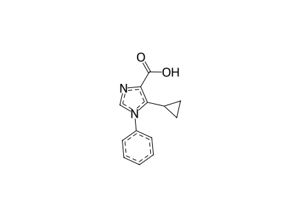 O=C(O)c1ncn(-c2ccccc2)c1C1CC1